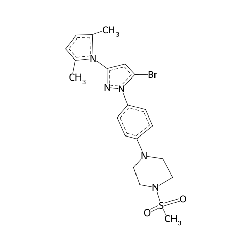 Cc1ccc(C)n1-c1cc(Br)n(-c2ccc(N3CCN(S(C)(=O)=O)CC3)cc2)n1